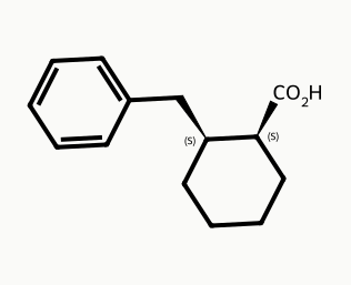 O=C(O)[C@H]1CCCC[C@H]1Cc1ccccc1